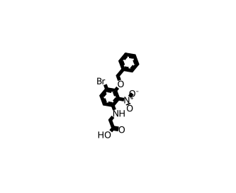 O=C(O)CNc1ccc(Br)c(OCc2ccccc2)c1[N+](=O)[O-]